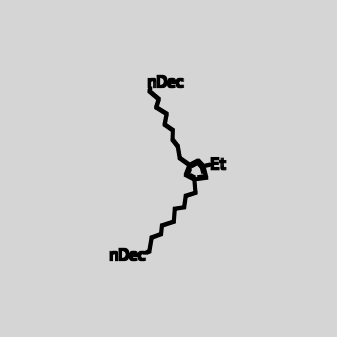 [CH2]Cc1cc(CCCCCCCCCCCCCCCCCCC)cc(CCCCCCCCCCCCCCCCCCC)c1